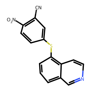 N#Cc1cc(Sc2cccc3cnccc23)ccc1[N+](=O)[O-]